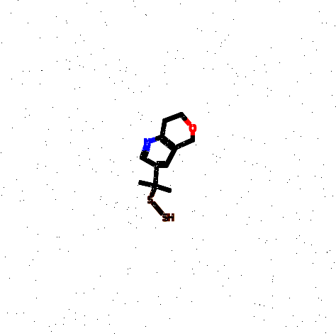 CC(C)(SS)c1cnc2c(c1)COCC2